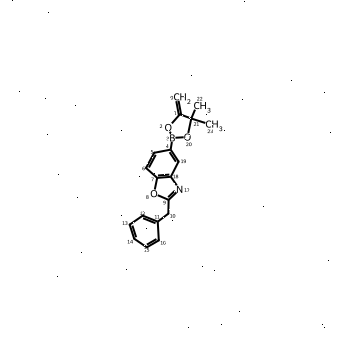 C=C1OB(c2ccc3oc(Cc4ccccc4)nc3c2)OC1(C)C